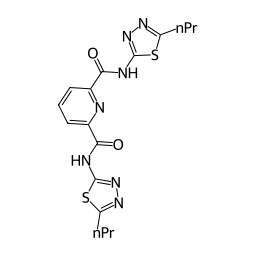 CCCc1nnc(NC(=O)c2cccc(C(=O)Nc3nnc(CCC)s3)n2)s1